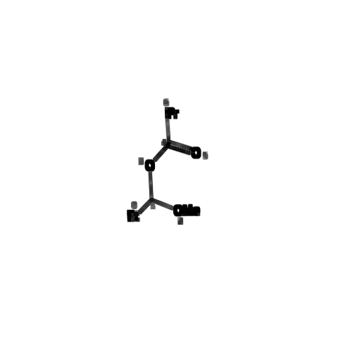 CCC(OC)OC(=O)C(C)C